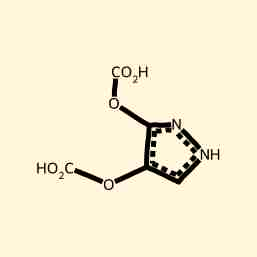 O=C(O)Oc1c[nH]nc1OC(=O)O